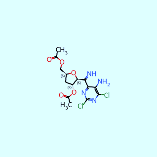 CC(=O)OC[C@@H]1C[C@@H](OC(C)=O)[C@H](C(=N)c2nc(Cl)nc(Cl)c2N)O1